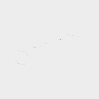 O=CCCCCCCOC1CCCCO1